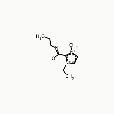 CCC/N=C(\[O-])c1n(CC)cc[n+]1C